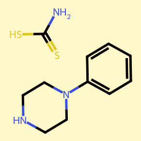 NC(=S)S.c1ccc(N2CCNCC2)cc1